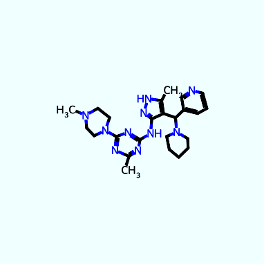 Cc1nc(Nc2n[nH]c(C)c2C(c2cccnc2)N2CCCCC2)nc(N2CCN(C)CC2)n1